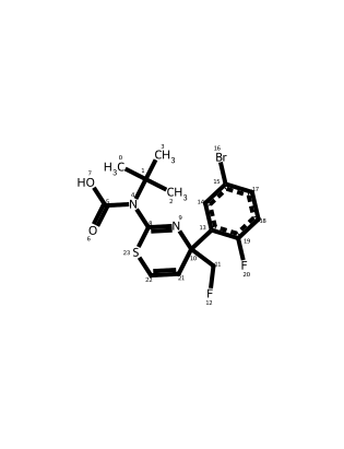 CC(C)(C)N(C(=O)O)C1=NC(CF)(c2cc(Br)ccc2F)C=CS1